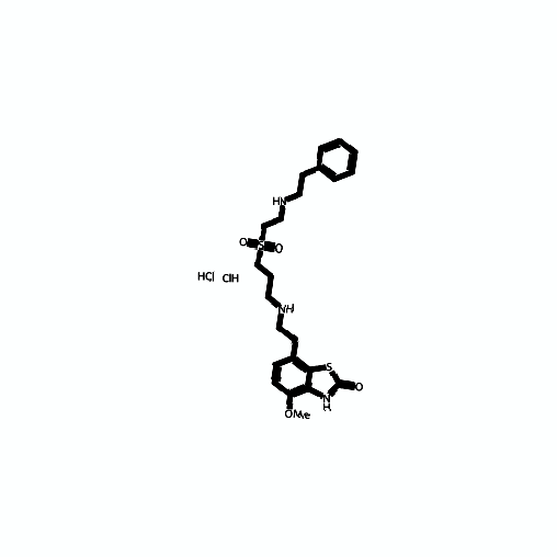 COc1ccc(CCNCCCS(=O)(=O)CCNCCc2ccccc2)c2sc(=O)[nH]c12.Cl.Cl